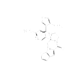 Cc1ccc(C23Cn4c(cc5ccsc54)C(=O)N2CCN3C(=O)c2cocc2C)cn1